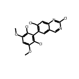 COc1cc(OC)c(Cl)c(-c2cc3cnc(Cl)nc3cc2Cl)c1Cl